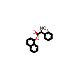 O=C(Oc1cccc2ccccc12)C(c1ccccc1)[N+](=O)[O-]